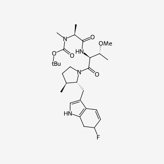 CO[C@H](C)[C@H](NC(=O)[C@H](C)N(C)C(=O)OC(C)(C)C)C(=O)N1CC[C@H](C)[C@H]1Cc1c[nH]c2c1C=CC(F)C2